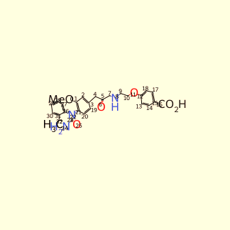 COc1cc(CC(=O)CNCCOc2ccc(C(=O)O)cc2)ccc1N(C(N)=O)c1ccccc1C